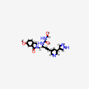 COc1ccc2c(c1)C(=O)N(C[C@@H](C#Cc1cncc(-c3cn[nH]c3)c1)NC(=O)NC=O)C2